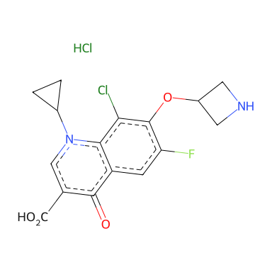 Cl.O=C(O)c1cn(C2CC2)c2c(Cl)c(OC3CNC3)c(F)cc2c1=O